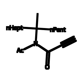 C#CC(=O)N(C(C)=O)C(C)(CCCCC)CCCCCCC